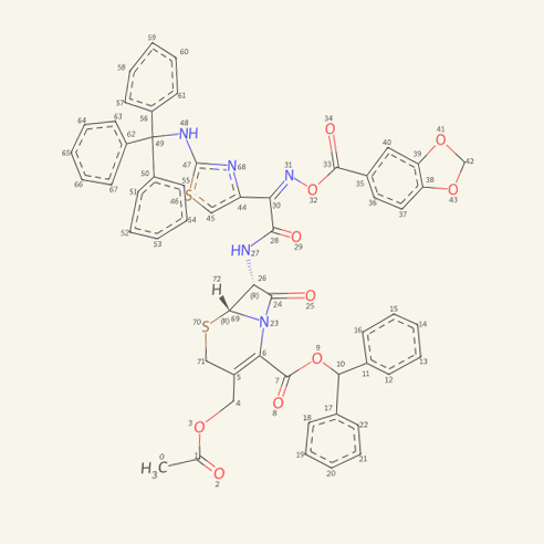 CC(=O)OCC1=C(C(=O)OC(c2ccccc2)c2ccccc2)N2C(=O)[C@@H](NC(=O)C(=NOC(=O)c3ccc4c(c3)OCO4)c3csc(NC(c4ccccc4)(c4ccccc4)c4ccccc4)n3)[C@H]2SC1